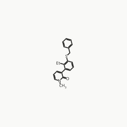 CCc1c(SCc2ccccc2)cccc1-c1cccn(C)c1=O